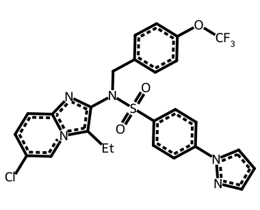 CCc1c(N(Cc2ccc(OC(F)(F)F)cc2)S(=O)(=O)c2ccc(-n3cccn3)cc2)nc2ccc(Cl)cn12